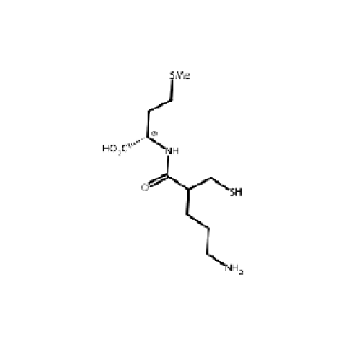 CSCC[C@H](NC(=O)C(CS)CCCN)C(=O)O